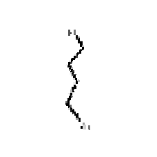 CCCCC[CH2][Zn]